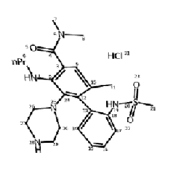 CCCNc1c(C(=O)N(C)C)cc(C)c(-c2ccccc2NS(C)(=O)=O)c1N1CCNCC1.Cl